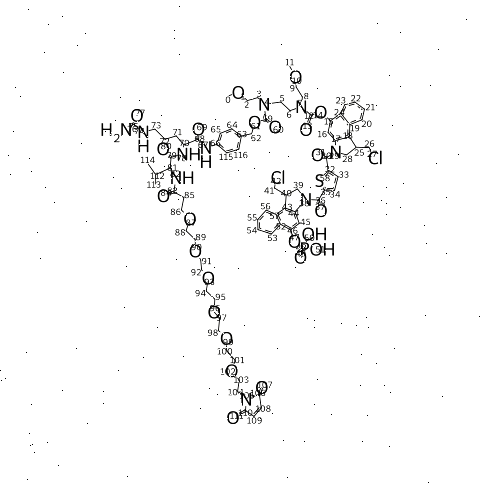 COCCN(CCN(CCOC)C(=O)Oc1cc2c(c3ccccc13)C(CCl)CN2C(=O)c1ccc(C(=O)N2CC(CCl)c3c2cc(OP(=O)(O)O)c2ccccc32)s1)C(=O)OCc1ccc(NC(=O)C(CCCNC(N)=O)NC(=O)C(NC(=O)CCOCCOCCOCCOCCOCCOCCN2C(=O)C=CC2=O)C(C)C)cc1